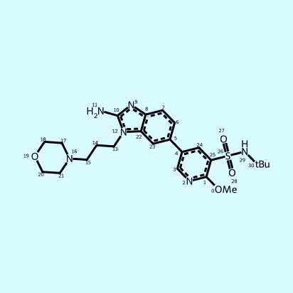 COc1ncc(-c2ccc3nc(N)n(CCCN4CCOCC4)c3c2)cc1S(=O)(=O)NC(C)(C)C